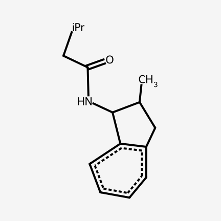 CC(C)CC(=O)NC1c2ccccc2CC1C